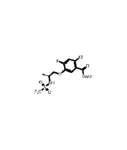 COC(=O)c1cc(OC[C@H](C)NS(=O)(=O)C(F)(F)F)c(F)cc1Cl